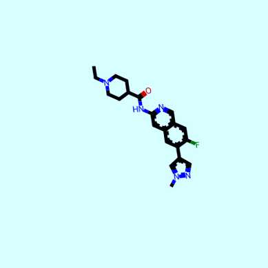 CCN1CCC(C(=O)Nc2cc3cc(-c4cnn(C)c4)c(F)cc3cn2)CC1